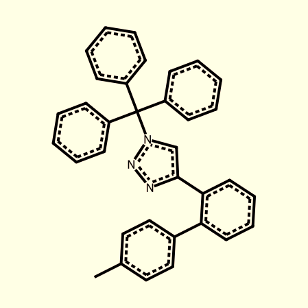 Cc1ccc(-c2ccccc2-c2cn(C(c3ccccc3)(c3ccccc3)c3ccccc3)nn2)cc1